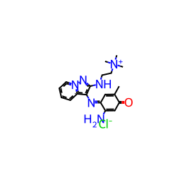 CC1=C/C(=N\c2c(NCC[N+](C)(C)C)nn3ccccc23)C(N)=CC1=O.[Cl-]